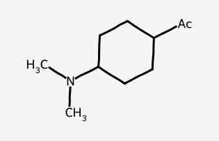 CC(=O)C1CCC(N(C)C)CC1